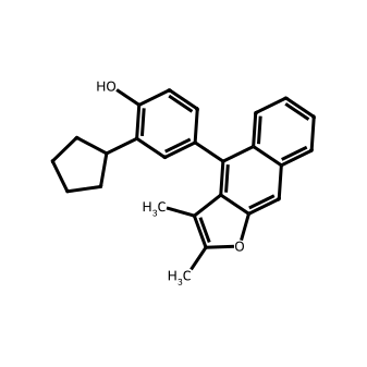 Cc1oc2cc3ccccc3c(-c3ccc(O)c(C4CCCC4)c3)c2c1C